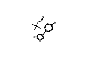 Brc1ccc(-c2cn[nH]c2)cc1.CC(C)(C)OC=O